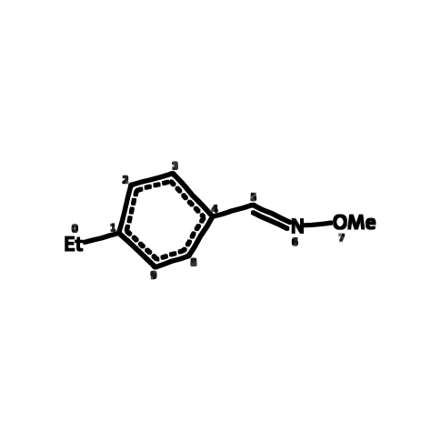 CCc1ccc(/C=N/OC)cc1